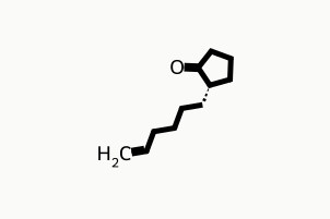 C=CCCCC[C@H]1CCCC1=O